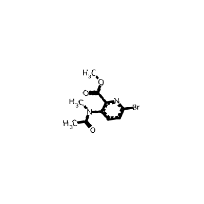 COC(=O)c1nc(Br)ccc1N(C)C(C)=O